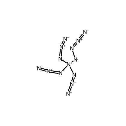 [N-]=[N+]=N[N][N+](N=[N+]=[N-])(N=[N+]=[N-])N=[N+]=[N-]